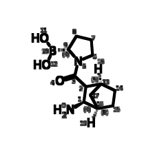 N[C@H]1C(C(=O)N2CCC[C@H]2B(O)O)[C@H]2CC[C@@H]1C2